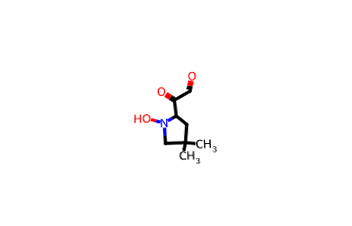 CC1(C)CC(C(=O)C=O)N(O)C1